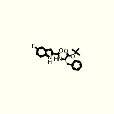 CC(C)(C)OC(=O)[C@H](Cc1ccccc1)NC(=O)c1cc2cc(F)ccc2[nH]1